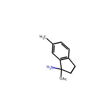 CC(=O)OC1(N)CCc2ccc(C)cc21